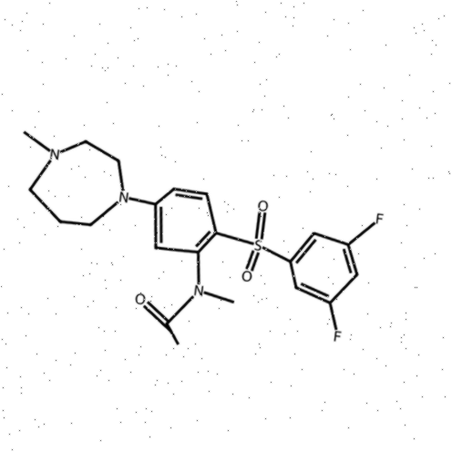 CC(=O)N(C)c1cc(N2CCCN(C)CC2)ccc1S(=O)(=O)c1cc(F)cc(F)c1